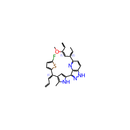 C=C/C=C(/c1ccc(F)s1)c1cc(-c2n[nH]c3ccc(C(/C=C(\C=C)OC)=C/C)nc23)[nH]c1C